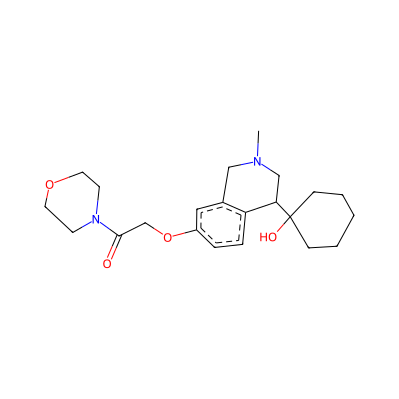 CN1Cc2cc(OCC(=O)N3CCOCC3)ccc2C(C2(O)CCCCC2)C1